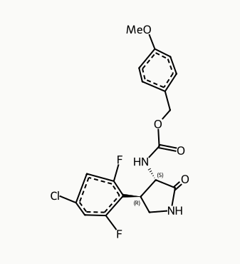 COc1ccc(COC(=O)N[C@@H]2C(=O)NC[C@H]2c2c(F)cc(Cl)cc2F)cc1